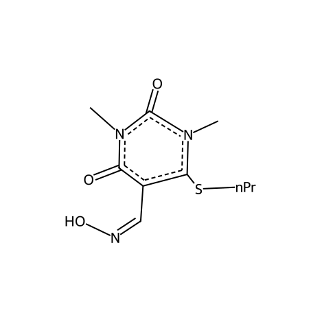 CCCSc1c(/C=N\O)c(=O)n(C)c(=O)n1C